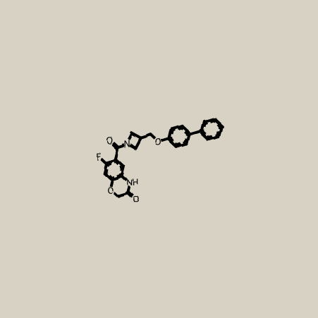 O=C1COc2cc(F)c(C(=O)N3CC(COc4ccc(-c5ccccc5)cc4)C3)cc2N1